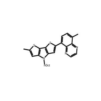 CCCCCCCCn1c2cc(C)sc2c2sc(-c3ccc(C)c4nccnc34)cc21